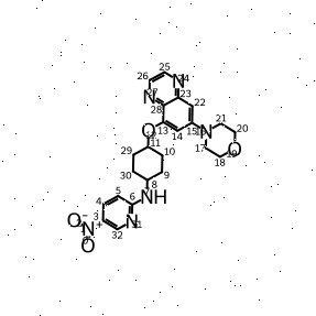 O=[N+]([O-])c1ccc(NC2CCC(Oc3cc(N4CCOCC4)cc4nccnc34)CC2)nc1